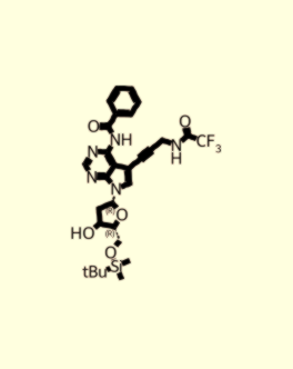 CC(C)(C)[Si](C)(C)OC[C@H]1O[C@@H](n2cc(C#CCNC(=O)C(F)(F)F)c3c(NC(=O)c4ccccc4)ncnc32)CC1O